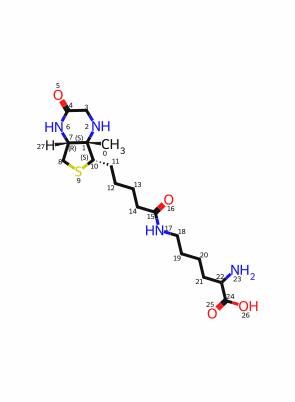 C[C@]12NCC(=O)N[C@H]1CS[C@H]2CCCCC(=O)NCCCCC(N)C(=O)O